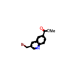 COC(=O)c1ccc2ncc(CBr)cc2c1